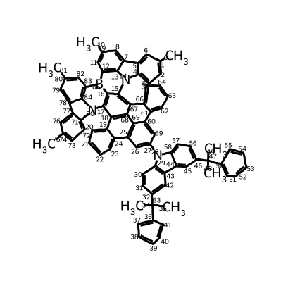 Cc1ccc2c(c1)c1cc(C)cc3c1n2-c1c2c(c4c5ccccc5c5cc(-n6c7ccc(C(C)(C)c8ccccc8)cc7c7cc(C(C)(C)c8ccccc8)ccc76)cc6c7ccccc7c1c4c65)-n1c4ccc(C)cc4c4cc(C)cc(c41)B23